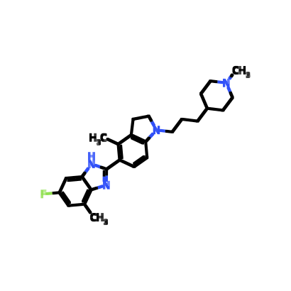 Cc1c(-c2nc3c(C)cc(F)cc3[nH]2)ccc2c1CCN2CCCC1CCN(C)CC1